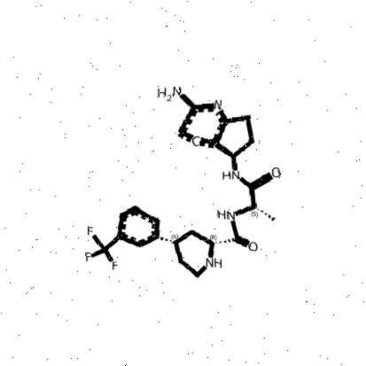 C[C@H](NC(=O)[C@H]1C[C@@H](c2cccc(C(F)(F)F)c2)CCN1)C(=O)NC1CCc2nc(N)ccc21